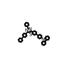 c1ccc(-c2ccc(-c3nc(-c4ccccc4)nc4c3sc3cc(-c5ccc(-n6c7ccccc7c7ccccc76)cc5)ccc34)cc2)cc1